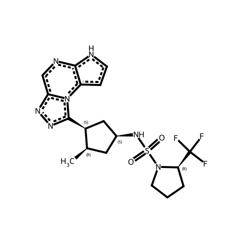 C[C@@H]1C[C@H](NS(=O)(=O)N2CCC[C@@H]2C(F)(F)F)C[C@@H]1c1nnc2cnc3[nH]ccc3n12